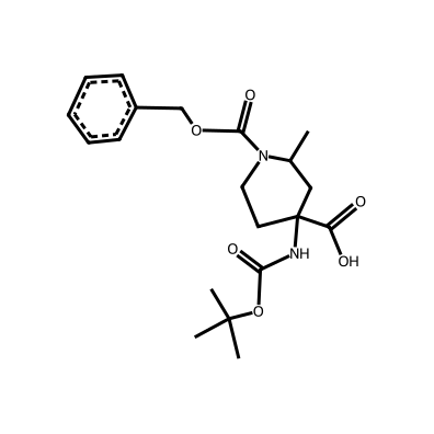 CC1CC(NC(=O)OC(C)(C)C)(C(=O)O)CCN1C(=O)OCc1ccccc1